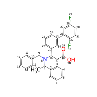 CC(c1ccccc1)N(Cc1ccccc1)C(CC(=O)O)c1cccc(-c2cc(F)ccc2F)c1